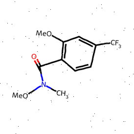 COc1cc(C(F)(F)F)ccc1C(=O)N(C)OC